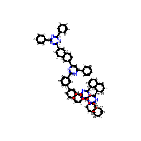 c1ccc(-c2cc(-c3ccc4cc(-c5nc(-c6ccccc6)nc(-c6ccccc6)n5)ccc4c3)nc(-c3cccc(-c4cccc(-c5nc(-c6ccccc6)nc(-c6cccc7cccc(-c8cc(-c9ccccc9)nc(-c9ccccc9)n8)c67)n5)c4)c3)n2)cc1